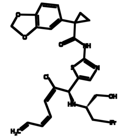 C=C/C=C\C=C(\Cl)[C@H](N[C@H](CO)CC(C)C)c1cnc(NC(=O)C2(c3ccc4c(c3)OCO4)CC2)s1